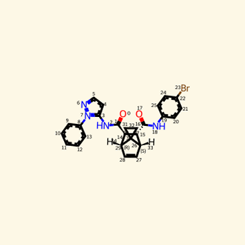 O=C(Nc1ccnn1-c1ccccc1)[C@H]1[C@H](C(=O)Nc2ccc(Br)cc2)[C@@H]2C=C[C@H]1C21CC1